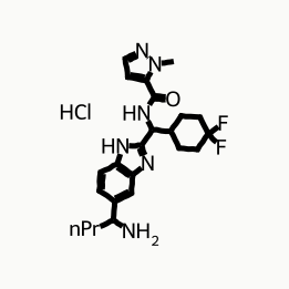 CCCC(N)c1ccc2[nH]c(C(NC(=O)c3ccnn3C)C3CCC(F)(F)CC3)nc2c1.Cl